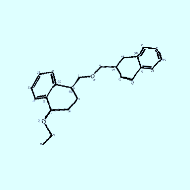 CCOC1CC[C@H](COCC2CCc3ccccc3C2)c2ccccc21